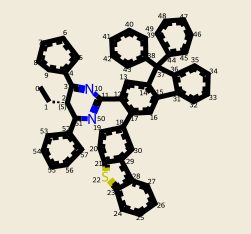 CC[C@@H]1C(c2ccccc2)=NC(c2cc3c(cc2-c2ccc4sc5ccccc5c4c2)-c2ccccc2C3(c2ccccc2)c2ccccc2)=NC1c1ccccc1